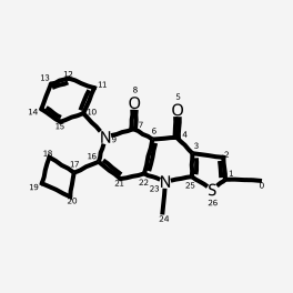 Cc1cc2c(=O)c3c(=O)n(-c4ccccc4)c(C4CCC4)cc3n(C)c2s1